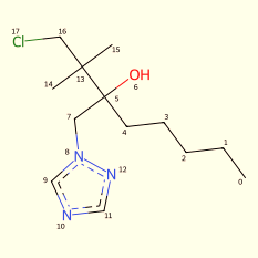 CCCCCC(O)(Cn1cncn1)C(C)(C)CCl